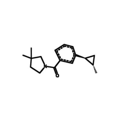 C[C@H]1C[C@@H]1c1cccc(C(=O)N2CCC(C)(C)C2)c1